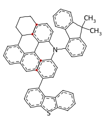 CC1(C)c2ccccc2-c2c(N(c3ccc(-c4cccc5sc6ccccc6c45)cc3)c3ccccc3-c3cccc4cccc(C5CCCCC5)c34)cccc21